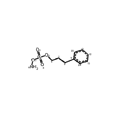 NOS(=O)(=O)OCCCc1ccccc1